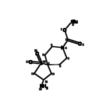 CC(C)(C)OC(=O)N1CCC2(CC1)CC(N)CS2(=O)=O